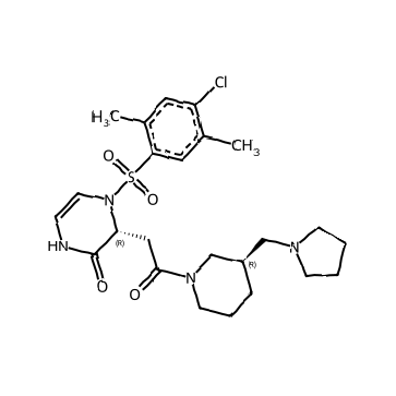 Cc1cc(S(=O)(=O)N2C=CNC(=O)[C@H]2CC(=O)N2CCC[C@H](CN3CCCC3)C2)c(C)cc1Cl